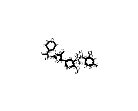 COc1ncc(-c2sc(NC(C)C3CCOCC3)nc2C)cc1S(=O)(=O)Nc1ccc(F)cc1Cl